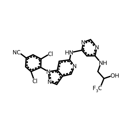 N#Cc1cc(Cl)c(-n2ncc3cnc(Nc4cc(NCC(O)C(F)(F)F)ncn4)cc32)c(Cl)c1